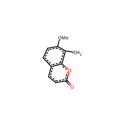 [CH2]c1c(OC)ccc2ccc(=O)oc12